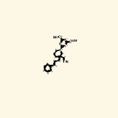 COc1nc(OC)nc(N2CCCC(CO)(CCCc3ccccc3)C2)n1